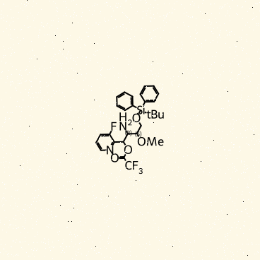 CO[C@H](CO[Si](c1ccccc1)(c1ccccc1)C(C)(C)C)[C@H](N)C(OC(=O)C(F)(F)F)c1ncccc1F